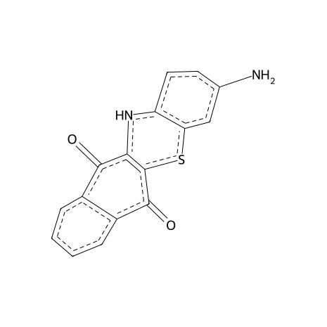 Nc1ccc2[nH]c3c(=O)c4ccccc4c(=O)c=3sc2c1